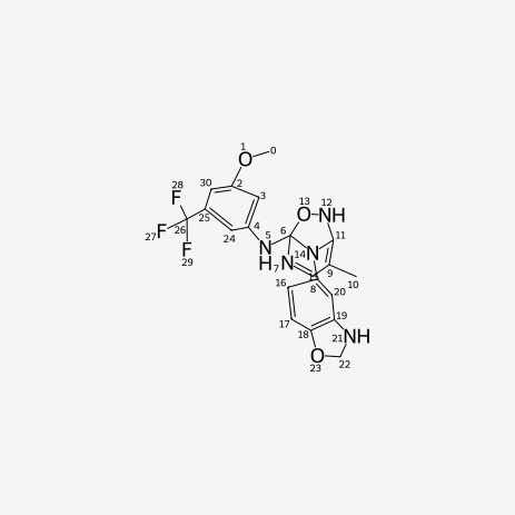 COc1cc(NC23N=CC(C)=C(NO2)N3c2ccc3c(c2)NCO3)cc(C(F)(F)F)c1